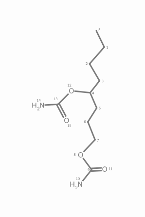 CCCCC(CCCOC(N)=O)OC(N)=O